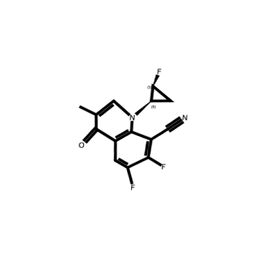 Cc1cn([C@@H]2C[C@@H]2F)c2c(C#N)c(F)c(F)cc2c1=O